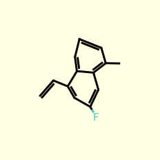 C=Cc1cc(F)cc2c(C)cccc12